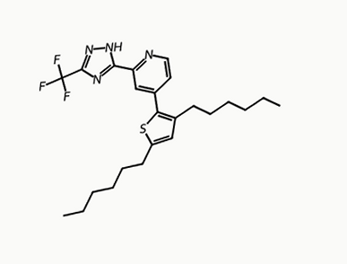 CCCCCCc1cc(CCCCCC)c(-c2ccnc(-c3nc(C(F)(F)F)n[nH]3)c2)s1